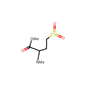 CNC(CC[SH](=O)=O)C(=O)OC